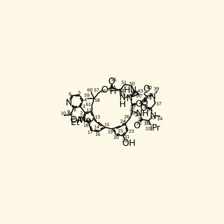 CCn1c(-c2cccnc2[C@H](C)OC)c2c3cc(ccc31)-c1cc(O)cc(c1)C[C@H](NC(=O)[C@H](C(C)C)N(C)C(=O)CN(C)S(=O)(=O)[C@@H]1CN1)C(=O)N1CCC[C@H](N1)C(=O)OCC(C)(C)C2